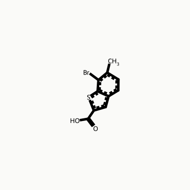 Cc1ccc2cc(C(=O)O)sc2c1Br